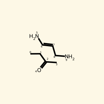 CCC(C)=O.NC=CCN